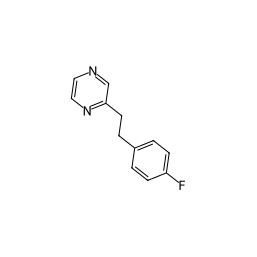 Fc1ccc(CCc2cnccn2)cc1